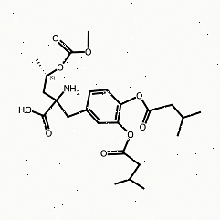 COC(=O)O[C@@H](C)CC(N)(Cc1ccc(OC(=O)CC(C)C)c(OC(=O)CC(C)C)c1)C(=O)O